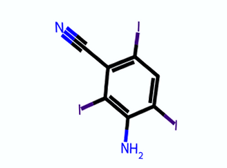 N#Cc1c(I)cc(I)c(N)c1I